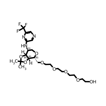 CC1(C)O[C@@H]2[C@H](O1)[C@@H](Nc1cncc(C(F)(F)F)n1)CO[C@@H]2COCCOCCOCCOCCO